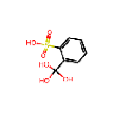 O=S(=O)(O)c1ccccc1C(O)(O)O